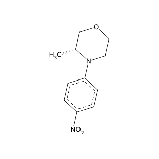 C[C@@H]1COCCN1c1ccc([N+](=O)[O-])cc1